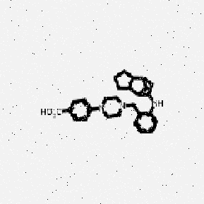 O=C(O)c1ccc(N2CCN(Cc3ccccc3NC3CC4CC3C3CCCC43)CC2)cc1